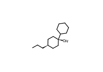 CCC[C@H]1CC[C@](O)(C2CCCCC2)CC1